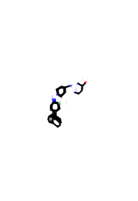 O=C(O)C1CCCN(Cc2ccc(Nc3ccc(C45CC6CC(CC(C6)C4)C5)cc3Cl)cc2)C1